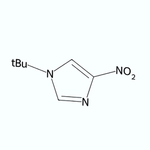 CC(C)(C)n1cnc([N+](=O)[O-])c1